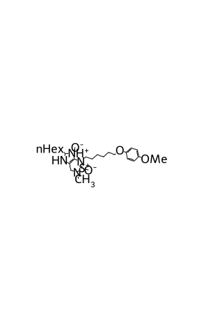 CCCCCCC1NC2=C(N(CCCCCCOc3ccc(OC)cc3)[S+]([O-])N(C)C2)[NH+]1[O-]